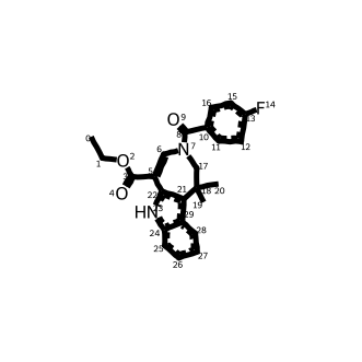 CCOC(=O)C1=CN(C(=O)c2ccc(F)cc2)CC(C)(C)c2c1[nH]c1ccccc21